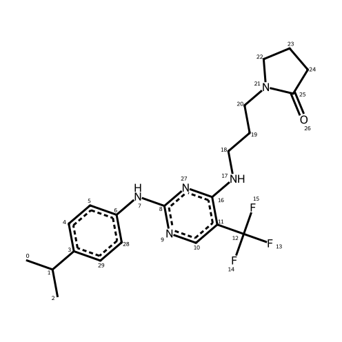 CC(C)c1ccc(Nc2ncc(C(F)(F)F)c(NCCCN3CCCC3=O)n2)cc1